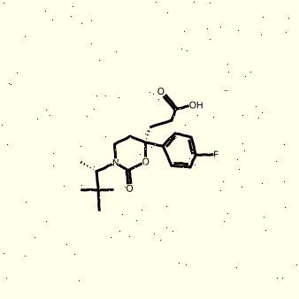 C[C@H](N1CC[C@@](CCC(=O)O)(c2ccc(F)cc2)OC1=O)C(C)(C)C